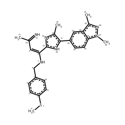 CSc1ccc(CN/C(=C/C(C)=N)c2nc(C)c(-c3ccc4c(c3)c(C)nn4C)[nH]2)cc1